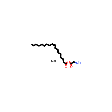 CCCCCCCC/C=C\CCCCCCCC(=O)OC(=O)CNC.[NaH]